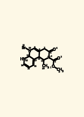 COC(=O)N1C(=O)CC2=CN(Br)C3NC=CC=C3C2C1C